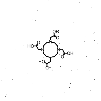 CC(O)CC1CCN(CC(=O)O)CCN(CC(=O)O)CCN(CC(=O)O)CC1